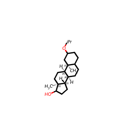 CC(C)OC1CCC2CC[C@@H]3[C@@H](CC[C@]4(C)C(O)CC[C@@H]34)[C@@]2(C)C1